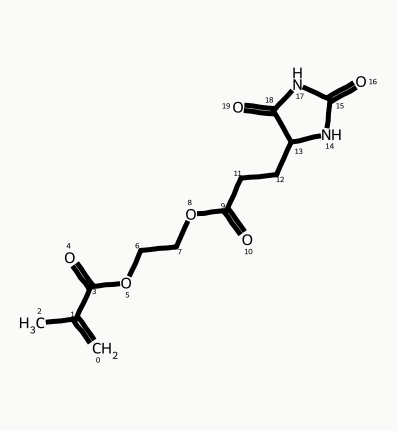 C=C(C)C(=O)OCCOC(=O)CCC1NC(=O)NC1=O